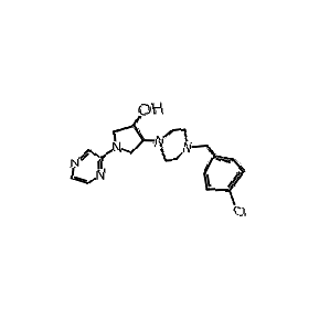 OC1CN(c2cnccn2)CC1N1CCN(Cc2ccc(Cl)cc2)CC1